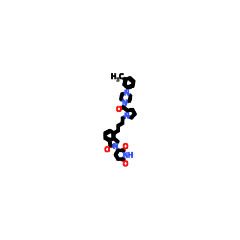 Cc1cccc(N2CCN(C(=O)C3CCCN3CCCCc3cccc4c3CN(C3CCC(=O)NC3=O)C4=O)CC2)c1